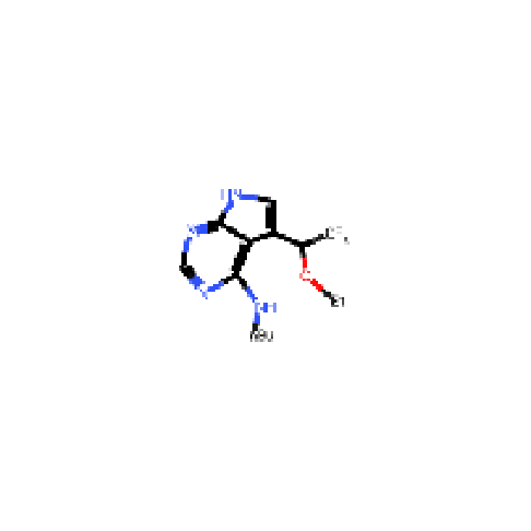 CCCCNc1ncnc2[nH]cc(C(OCC)C(F)(F)F)c12